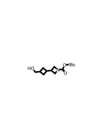 CC(C)(C)OC(=O)N1CC(C2CC(CO)C2)C1